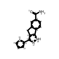 NC(=O)c1ccc2c(c1)Cc1c(-c3cccs3)n[nH]c1-2